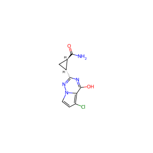 NC(=O)[C@@H]1C[C@H]1c1nc(O)c2c(Cl)ccn2n1